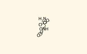 COc1cc(CCNC(=O)CN2CCOCC2)c(Cl)cc1N